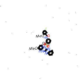 COc1cc(Nc2nc3ccccc3nc2NS(=O)(=O)c2cccc(NC(=O)c3cc(F)ccc3OC)c2)cc(OC)c1